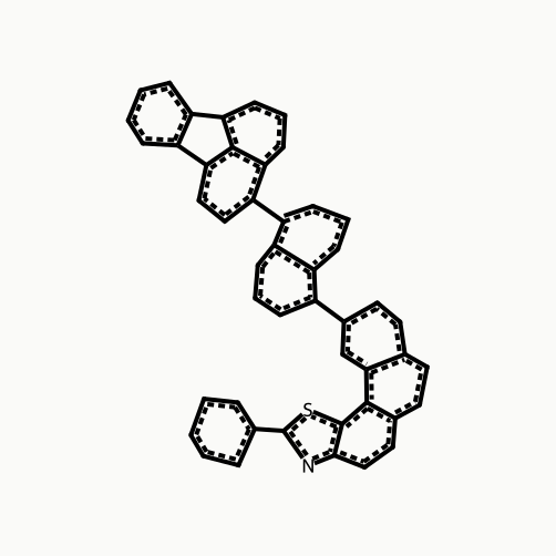 c1ccc(-c2nc3ccc4ccc5ccc(-c6cccc7c(-c8ccc9c%10c(cccc8%10)-c8ccccc8-9)cccc67)cc5c4c3s2)cc1